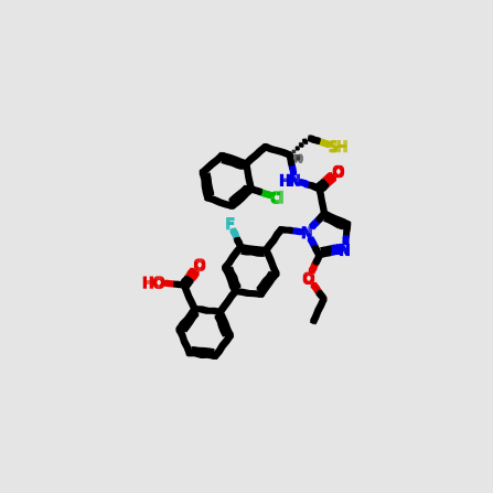 CCOc1ncc(C(=O)N[C@@H](CS)Cc2ccccc2Cl)n1Cc1ccc(-c2ccccc2C(=O)O)cc1F